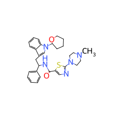 CN1CCN(c2ncc(C(=O)NC(Cc3cn(C4CCCCO4)c4ccccc34)c3ccccc3)s2)CC1